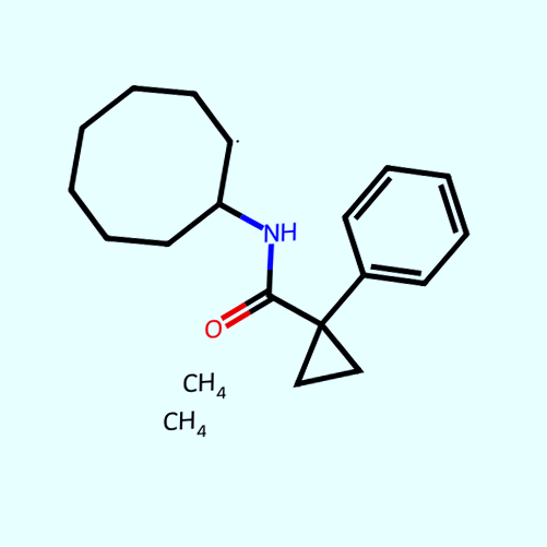 C.C.O=C(NC1[CH]CCCCCC1)C1(c2ccccc2)CC1